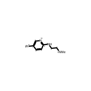 CNCCNc1ccc(C(C)C)cn1